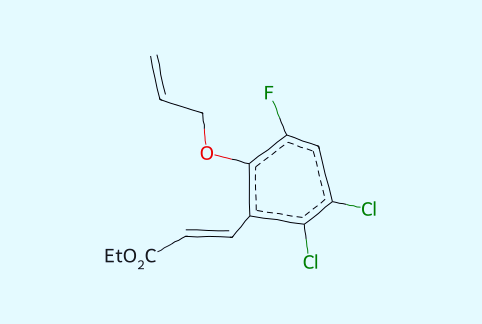 C=CCOc1c(F)cc(Cl)c(Cl)c1C=CC(=O)OCC